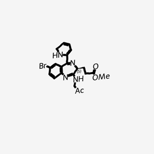 COC(=O)CC[C@@H]1N=C(C2=CC=CCN2)c2cc(Br)ccc2N=C1NCC(C)=O